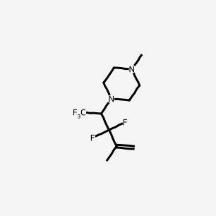 C=C(C)C(F)(F)C(N1CCN(C)CC1)C(F)(F)F